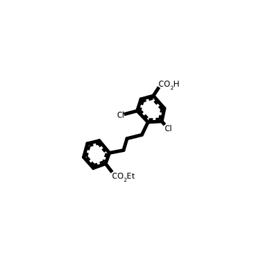 CCOC(=O)c1ccccc1CCCc1c(Cl)cc(C(=O)O)cc1Cl